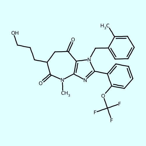 Cc1ccccc1Cn1c(-c2ccccc2OC(F)(F)F)nc2c1C(=O)CC(CCCO)C(=O)N2C